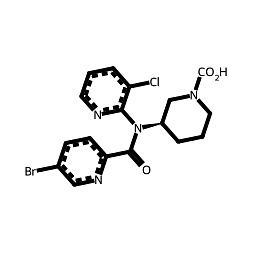 O=C(O)N1CCC[C@@H](N(C(=O)c2ccc(Br)cn2)c2ncccc2Cl)C1